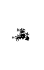 N[C@@H](Cc1ccc(O)c(-n2cccc2)c1)C(=O)O.O.O=C(O)C(=O)O